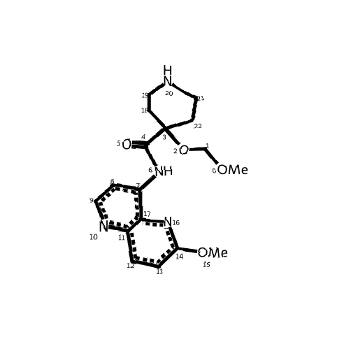 COCOC1(C(=O)Nc2ccnc3ccc(OC)nc23)CCNCC1